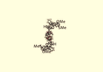 COC(=O)N[C@@H](CCSC)C(=O)N1CC2CCCC2[C@H]1c1nc(-c2ccc(-c3cc4ccc3CCc3ccc(c(-c5ccc(-c6c[nH]c([C@@H]7C8CCCC8CN7C(=O)[C@H](CCSC)NC(=O)OC)n6)cc5)c3)CC4)cc2)c[nH]1